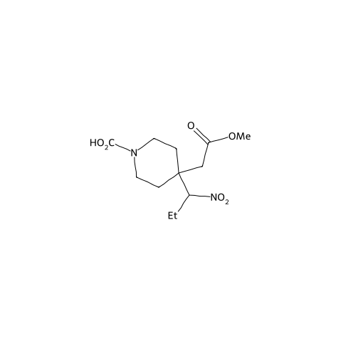 CCC([N+](=O)[O-])C1(CC(=O)OC)CCN(C(=O)O)CC1